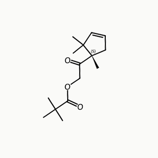 CC(C)(C)C(=O)OCC(=O)[C@@]1(C)CC=CC1(C)C